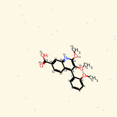 COc1ccccc1-c1c(OC)c(OC)nc2cc(C(=O)O)ccc12